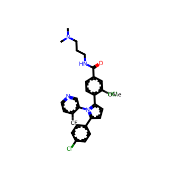 COc1cc(C(=O)NCCCN(C)C)ccc1-c1ccc(-c2ccc(Cl)cc2)n1-c1cnccc1C(F)(F)F.Cl